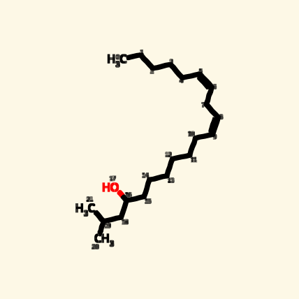 CCCCC/C=C\C/C=C\CCCCCCC(O)CC(C)C